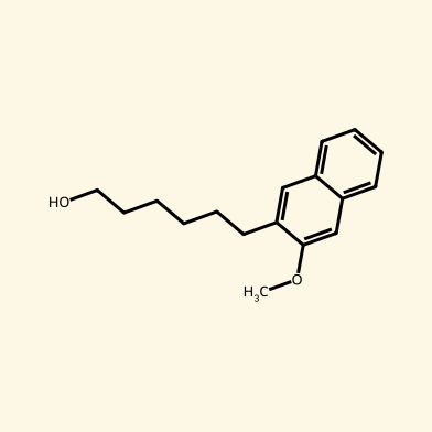 COc1cc2ccccc2cc1CCCCCCO